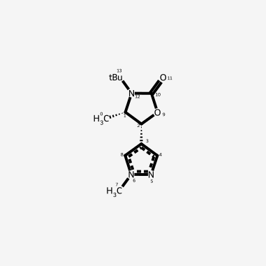 C[C@H]1[C@@H](c2cnn(C)c2)OC(=O)N1C(C)(C)C